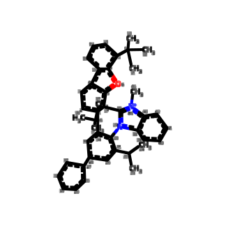 Cc1ccc2c(oc3c(C(C)(C)C)cccc32)c1-c1n(-c2c(C(C)C)cc(-c3ccccc3)cc2C(C)C)c2ccccc2[n+]1C